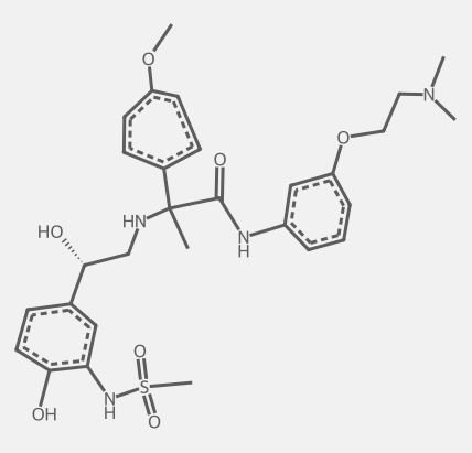 COc1ccc(C(C)(NC[C@@H](O)c2ccc(O)c(NS(C)(=O)=O)c2)C(=O)Nc2cccc(OCCN(C)C)c2)cc1